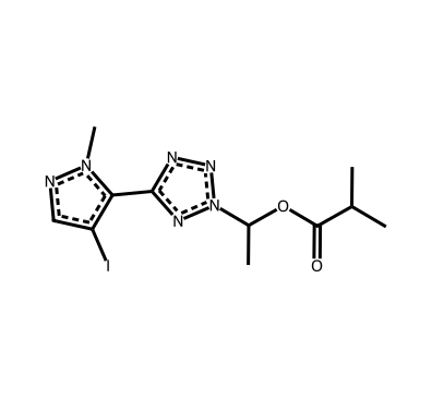 CC(C)C(=O)OC(C)n1nnc(-c2c(I)cnn2C)n1